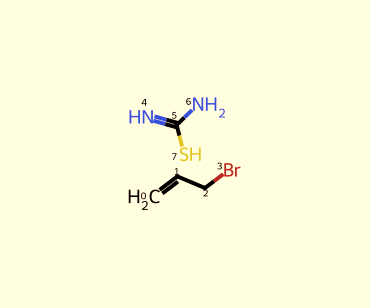 C=CCBr.N=C(N)S